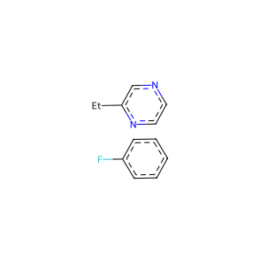 CCc1cnccn1.Fc1ccccc1